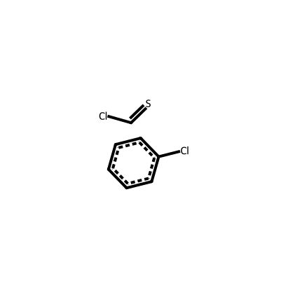 Clc1ccccc1.S=CCl